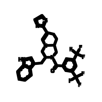 O=C(c1cc(C(F)(F)F)cc(C(F)(F)F)c1)N1CC2CCC(c3nccs3)=CN2CC1Cc1c[nH]c2ccccc12